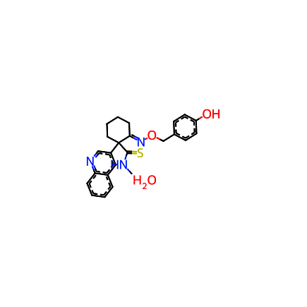 CNC(=S)C1(c2cnc3ccccc3c2)CCCCC1=NOCc1ccc(O)cc1.O